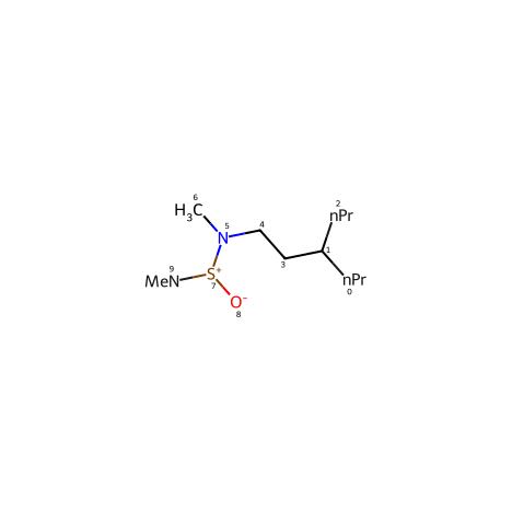 CCCC(CCC)CCN(C)[S+]([O-])NC